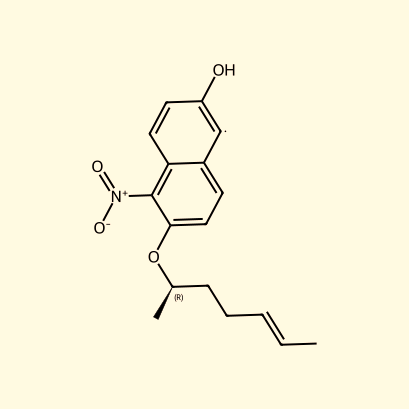 CC=CCC[C@@H](C)Oc1ccc2[c]c(O)ccc2c1[N+](=O)[O-]